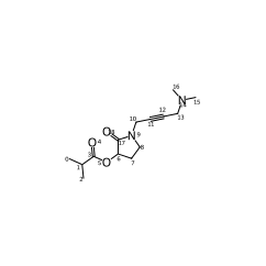 CC(C)C(=O)OC1CCN(CC#CCN(C)C)C1=O